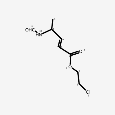 CC(/C=C/C(=O)OCCCl)NC=O